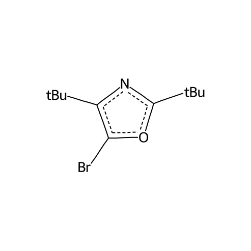 CC(C)(C)c1nc(C(C)(C)C)c(Br)o1